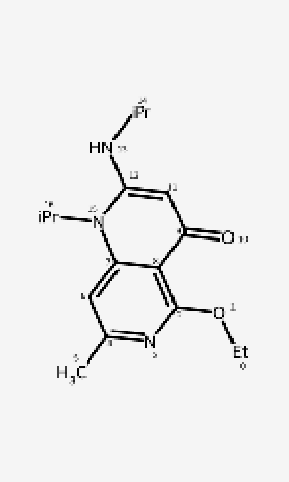 CCOc1nc(C)cc2c1c(=O)cc(NC(C)C)n2C(C)C